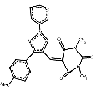 COc1ccc(-c2nn(-c3ccccc3)cc2C=C2C(=O)N(C)C(=O)N(C)C2=O)cc1